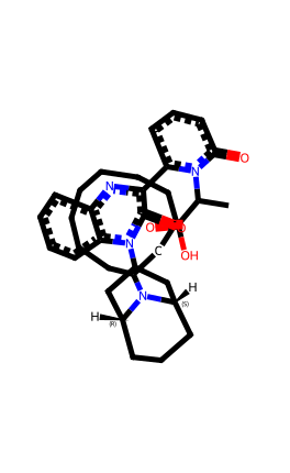 CC(C(=O)O)n1c(-c2nc3ccccc3n(C3C[C@H]4CCC[C@@H](C3)N4C3CCCCCCCCC3)c2=O)cccc1=O